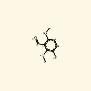 COc1ccc(F)c(OC)c1C=O